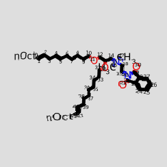 CCCCCCCC/C=C/CCCCCCCCOCC(C[N+](C)(C)CCN1C(=O)c2ccccc2C1=O)OCCCCCCCC/C=C/CCCCCCCC